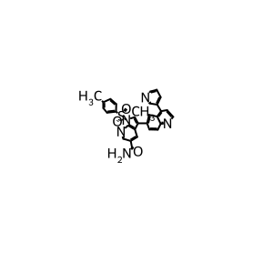 Cc1ccc(S(=O)(=O)n2c(C)c(-c3ccc4nccc(-c5cccnc5)c4c3)c3cc(C(N)=O)cnc32)cc1